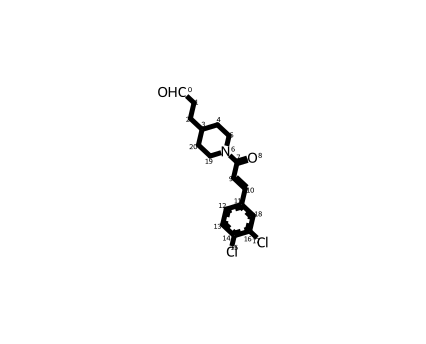 O=CCCC1CCN(C(=O)/C=C/c2ccc(Cl)c(Cl)c2)CC1